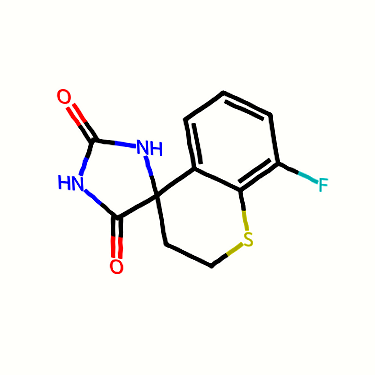 O=C1NC(=O)C2(CCSc3c(F)cccc32)N1